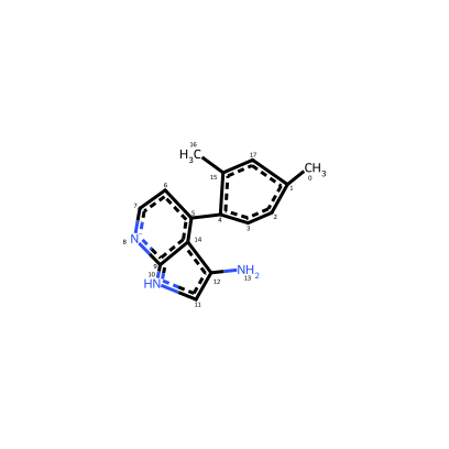 Cc1ccc(-c2ccnc3[nH]cc(N)c23)c(C)c1